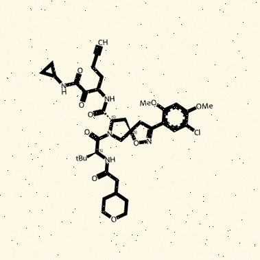 C#CCCC(NC(=O)[C@@H]1C[C@]2(CC(c3cc(Cl)c(OC)cc3OC)=NO2)CN1C(=O)[C@@H](NC(=O)CC1CCOCC1)C(C)(C)C)C(=O)C(=O)NC1CC1